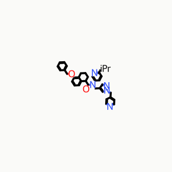 CC(C)c1ccc(N(Cc2cnn(Cc3ccncc3)c2)C(=O)C2CCCc3c(OCc4ccccc4)cccc32)cn1